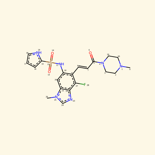 CN1CCN(C(=O)C=Cc2c(NS(=O)(=O)c3ccc[nH]3)cc3c(ncn3C)c2F)CC1